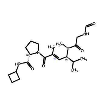 C/C(=C\[C@H](C(C)C)N(C)C(=O)CNC=O)C(=O)N1CCC[C@H]1C(=O)NC1CCC1